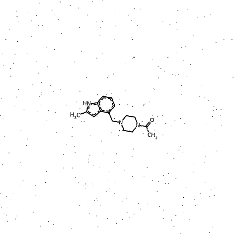 CC(=O)N1CCN(Cc2cccc3[nH]c(C)cc23)CC1